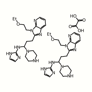 CCOCCn1c(CCC(Nc2ncc[nH]2)N2CCNCC2)nc2cccnc21.CCOCCn1c(CCC(Nc2ncc[nH]2)N2CCNCC2)nc2cccnc21.O=C(O)C(=O)O